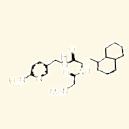 CNCC(=O)N[C@@H](CC1CCCC2CCCCC21)C(=O)NCc1ccc(N)nc1